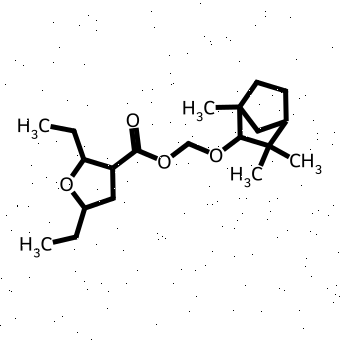 CCC1CC(C(=O)OCOC2C3(C)CCC(C3)C2(C)C)C(CC)O1